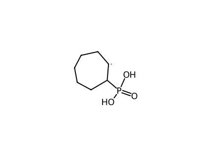 O=P(O)(O)C1[CH]CCCCC1